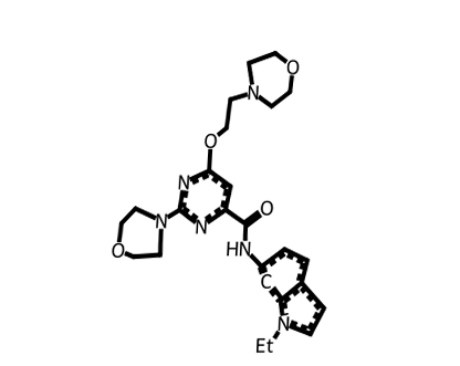 CCn1ccc2ccc(NC(=O)c3cc(OCCN4CCOCC4)nc(N4CCOCC4)n3)cc21